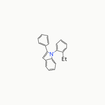 CCc1ccccc1-n1c(-c2ccccc2)cc2ccccc21